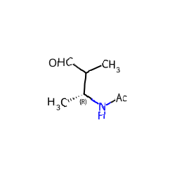 CC(=O)N[C@H](C)C(C)C=O